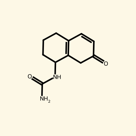 NC(=O)NC1CCCC2=C1CC(=O)C=C2